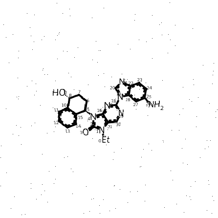 CCn1c(=O)n([C@@H]2CC[C@@H](O)c3ccccc32)c2nc(-n3cnc4ccc(N)cc43)ncc21